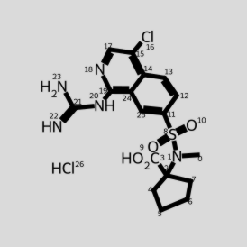 CN(C1(C(=O)O)CCCC1)S(=O)(=O)c1ccc2c(Cl)cnc(NC(=N)N)c2c1.Cl